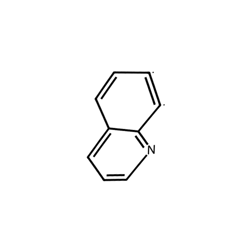 [c]1[c]c2ncccc2cc1